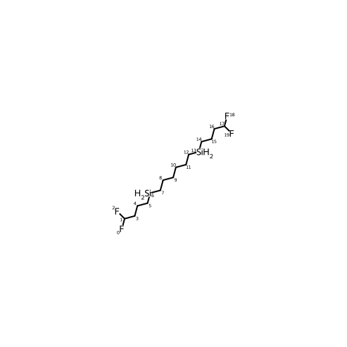 FC(F)CCC[SiH2]CCCCCC[SiH2]CCCC(F)F